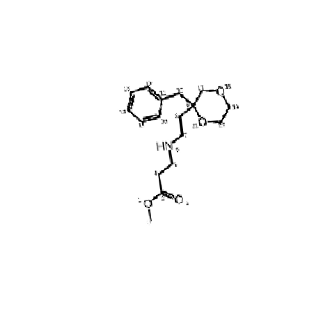 COC(=O)CCNCCC1(Cc2ccccc2)COCCO1